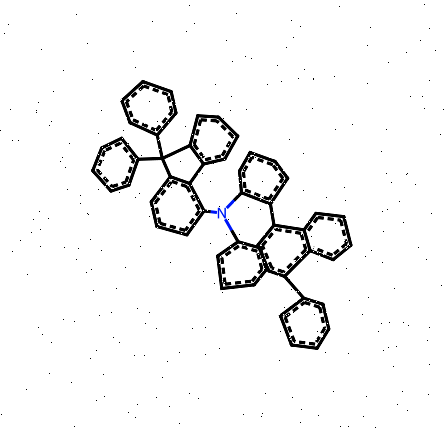 c1ccc(-c2ccc(-c3ccccc3N(c3ccccc3)c3cccc4c3-c3ccccc3C4(c3ccccc3)c3ccccc3)c3ccccc23)cc1